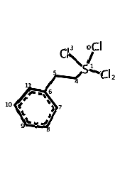 ClS(Cl)(Cl)CCc1ccccc1